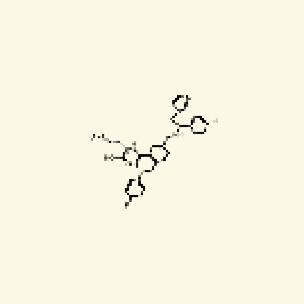 CSCC[C@H](NC(=O)c1cc(CNC(Cn2ccnc2)c2ccc(F)cc2)ccc1CCc1ccc(F)cc1)C(=O)O